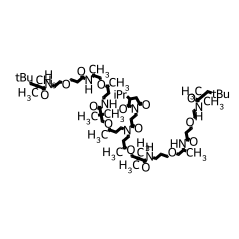 CC(COCCCNC(=O)C(C)(C)COC(C)CCN(CCC(C)OCC(C)(C)C(=O)NCCC(C)OCC(C)NC(=O)CCOCCNC(=O)C(C)(C)CC(C)(C)C)C(=O)CCN1C(=O)CC(C(C)C)C1=O)NC(=O)CCOCCNC(=O)C(C)(C)CC(C)(C)C